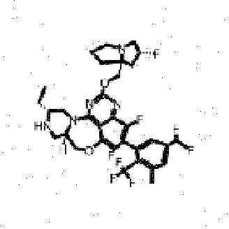 CC[C@@H]1CN2c3nc(OC[C@@]45CCCN4C[C@H](F)C5)nc4c(F)c(-c5cc(C(F)F)cc(C)c5C(F)(F)F)c(F)c(c34)OC[C@@H]2CN1